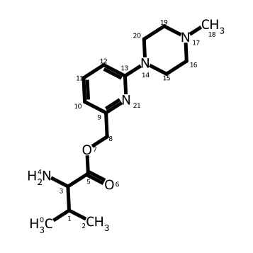 CC(C)C(N)C(=O)OCc1cccc(N2CCN(C)CC2)n1